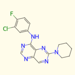 Fc1ccc(Nc2ncnc3cnc(N4CCCCC4)nc23)cc1Cl